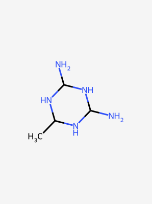 CC1NC(N)NC(N)N1